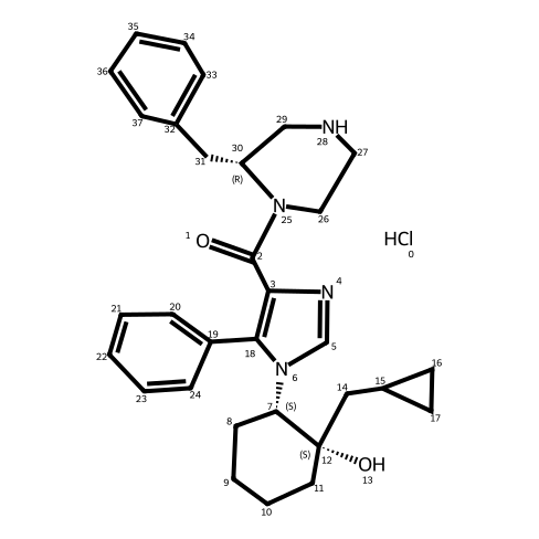 Cl.O=C(c1ncn([C@H]2CCCC[C@]2(O)CC2CC2)c1-c1ccccc1)N1CCNC[C@H]1Cc1ccccc1